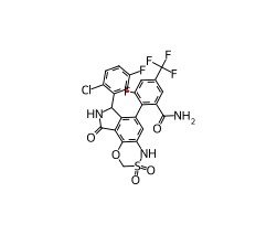 NC(=O)c1cc(C(F)(F)F)cc(F)c1-c1cc2c(c3c1C(c1cc(F)ccc1Cl)NC3=O)OCS(=O)(=O)N2